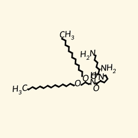 CCCCCCCCCCCCCCOCC(CNC(=O)C1CCCN1C(=O)[C@@H](N)CCCCN)OCCCCCCCCCCCCCC